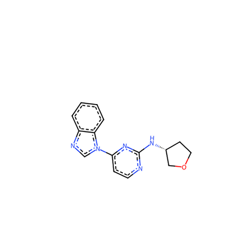 c1ccc2c(c1)ncn2-c1ccnc(N[C@@H]2CCOC2)n1